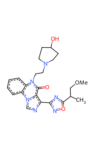 COCC(C)c1nc(-c2ncn3c2c(=O)n(CCN2CCC(O)CC2)c2ccccc23)no1